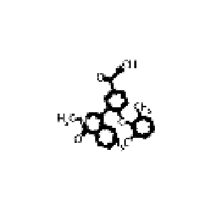 C#CC(=O)c1ccc(Oc2c(C)cccc2C)c(-c2cn(C)c(=O)c3ccccc23)c1